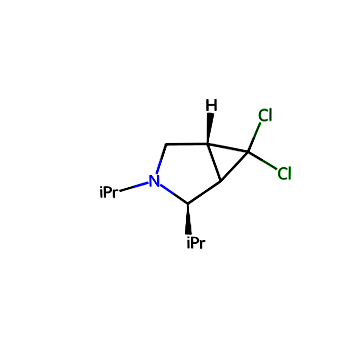 CC(C)[C@@H]1C2[C@H](CN1C(C)C)C2(Cl)Cl